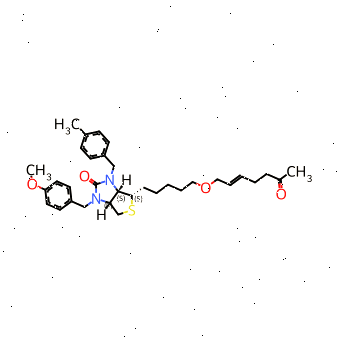 COc1ccc(CN2C(=O)N(Cc3ccc(C)cc3)[C@@H]3[C@H](CCCCCOCC=CCCC(C)=O)SC[C@@H]32)cc1